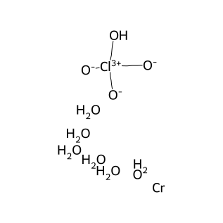 O.O.O.O.O.O.[Cr].[O-][Cl+3]([O-])([O-])O